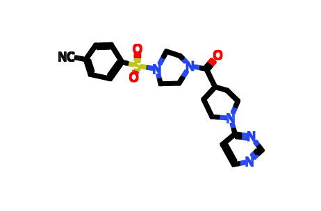 N#Cc1ccc(S(=O)(=O)N2CCN(C(=O)C3CCN(c4ccncn4)CC3)CC2)cc1